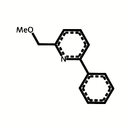 COCc1cccc(-c2ccccc2)n1